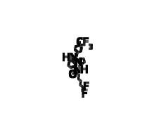 O=C(CCCC[C@@H](F)CF)Nc1cccc(NCc2ccc(C(F)(F)F)cc2)c1N1CCCC1